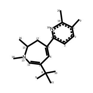 Cc1ccc(C2=CC(C(C)(C)C)=CN(C)C(C)C2)nc1C